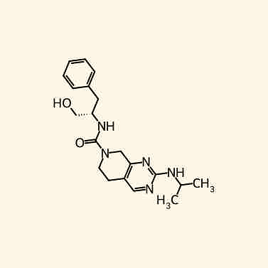 CC(C)Nc1ncc2c(n1)CN(C(=O)N[C@H](CO)Cc1ccccc1)CC2